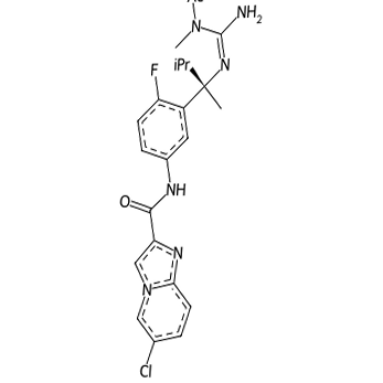 CC(=O)N(C)/C(N)=N\[C@](C)(c1cc(NC(=O)c2cn3cc(Cl)ccc3n2)ccc1F)C(C)C